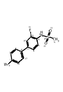 CC(C)c1ccc(-c2ccc(NS(C)(=O)=O)c(F)c2)cc1